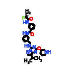 C=C(F)C(=O)Nc1cccc(C(=O)Nc2cccc(CNc3nc(OC4CCCNC4)nc4c(C(C)C)cnn34)c2)c1